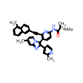 CN[C@@H](C)C(=O)Nc1ccc(-c2c(-c3ccnc(C)c3)nc3cc(C)ccn23)c(C#Cc2ccc3c(C)cccc3c2)n1